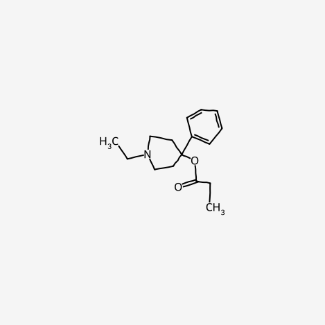 CCC(=O)OC1(c2ccccc2)CCN(CC)CC1